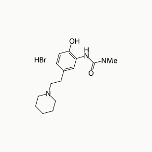 Br.CNC(=O)Nc1cc(CCN2CCCCC2)ccc1O